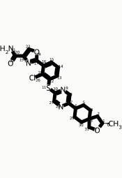 C[C@H]1CC2(CCC(c3cnc(Sc4cccc(-c5nc(C(N)=O)co5)c4Cl)cn3)CC2)CO1